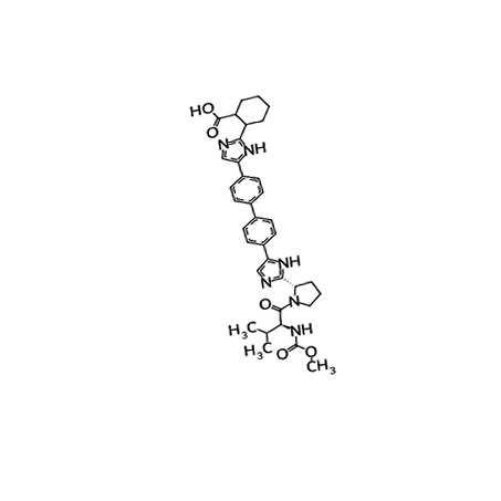 COC(=O)N[C@H](C(=O)N1CCC[C@H]1c1ncc(-c2ccc(-c3ccc(-c4cnc(C5CCCCC5C(=O)O)[nH]4)cc3)cc2)[nH]1)C(C)C